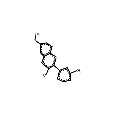 COc1ccc2nc(-c3cccc(C)c3)c(C)cc2c1